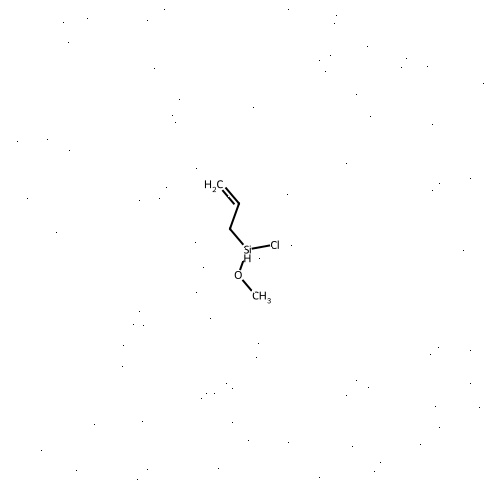 C=CC[SiH](Cl)OC